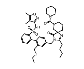 CCCCC1=N[C@]2(CCCN(C(=O)N3CCCCC3)C2)C(=O)N1Cc1ccc(-c2ccccc2S(=O)(=O)Nc2noc(C)c2C)c(COCC)c1